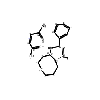 CN(C)[C@@H]1CCCCCC[C@H]1NCc1ccccc1.O=C(O)/C=C\C(=O)O